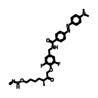 C=NBOCCCC[C@H](C)C(=O)COc1c(F)cc(CNC(=O)c2ccc(/N=N/c3ccc(N(C)C)cc3)cc2)cc1F